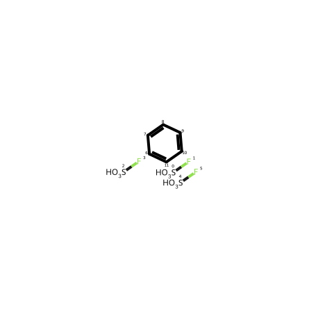 O=S(=O)(O)F.O=S(=O)(O)F.O=S(=O)(O)F.c1ccccc1